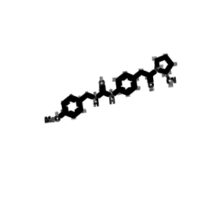 COc1ccc(CNC(=O)Nc2ccc(CC(=O)N3CCC[C@@H]3C#N)cc2)cc1